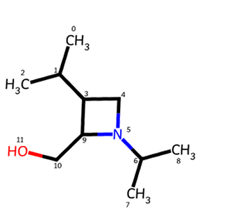 CC(C)C1CN(C(C)C)C1CO